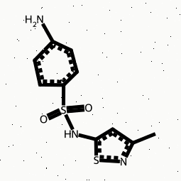 Cc1cc(NS(=O)(=O)c2ccc(N)cc2)sn1